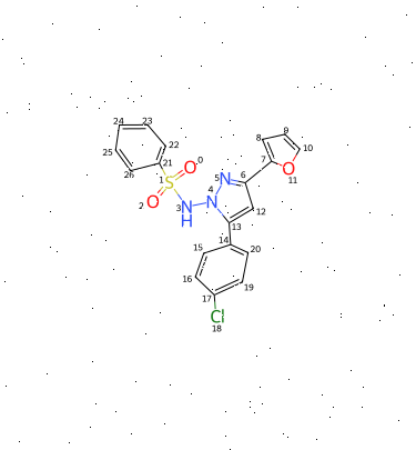 O=S(=O)(Nn1nc(-c2ccco2)cc1-c1ccc(Cl)cc1)c1ccccc1